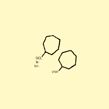 O=C([O-])C1CCCCCC1.O=C([O-])C1CCCCCC1.[Br-].[In+3]